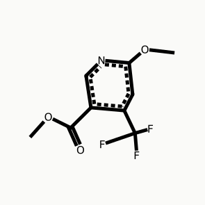 COC(=O)c1cnc(OC)cc1C(F)(F)F